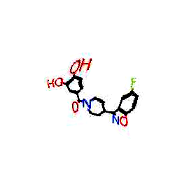 O=C(c1ccc(O)c(O)c1)N1CCC(c2noc3ccc(F)cc23)CC1